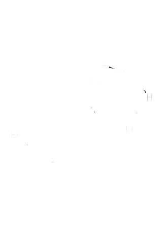 CCOc1ccc(-c2nc(C3C(=O)[C@@H]4CC[C@@H](C4)C3=O)c(CC)s2)cc1F